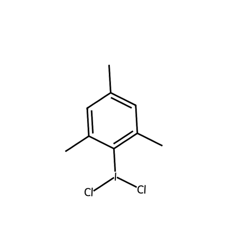 Cc1cc(C)c(I(Cl)Cl)c(C)c1